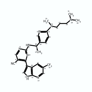 C[C@@H](Nc1ncc(C#N)c(-c2c[nH]c3ncc(C(F)(F)F)cc23)n1)c1ccc(N(C)CCCN(C)C)nc1